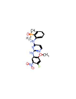 COc1cc(F)c([N+](=O)[O-])cc1Nc1nccc(Nc2ccccc2P(C)(C)=O)n1